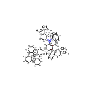 CC1(C)CCC(C)(C)c2cc(-c3ccccc3N(c3cccc(-c4ccc5c(c4)-c4ccccc4[Si]54c5ccccc5-c5ccccc54)c3)c3cccc4c3C(C)(C)CCC4(C)C)ccc21